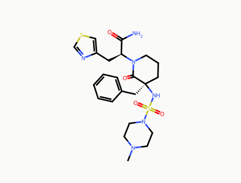 CN1CCN(S(=O)(=O)N[C@]2(Cc3ccccc3)CCCN([C@@H](Cc3cscn3)C(N)=O)C2=O)CC1